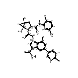 Cc1ncc(-c2cc(C)c3c(c2)c(C(C)O)cn3CC(=O)N2[C@H](C(=O)Nc3nc(Br)ccc3C)C[C@@]3(C)C[C@@H]23)cn1